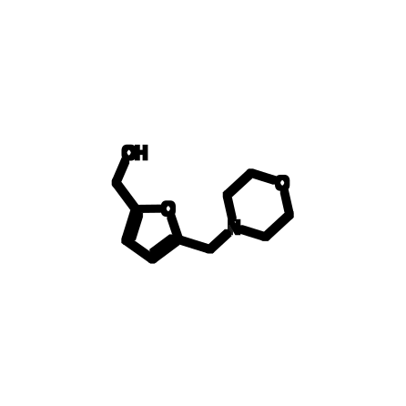 OCc1ccc(CN2CCOCC2)o1